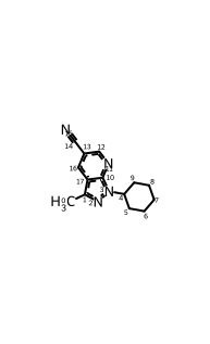 Cc1nn(C2CCCCC2)c2ncc(C#N)cc12